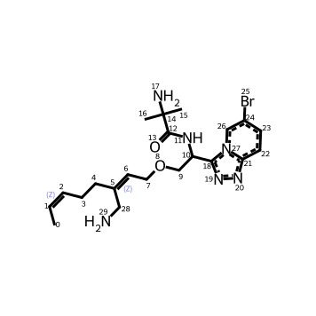 C/C=C\CC/C(=C/COCC(NC(=O)C(C)(C)N)c1nnc2ccc(Br)cn12)CN